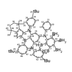 Bc1c(B)c(B)c(N(c2ccccc2)c2cc3c4c(c2)N(c2ccc(C(C)(C)C)cc2)c2c(sc5c2C(C)(C)CCC5(C)C)B4c2cc(C(C)(C)C)ccc2N3c2ccc(C(C)(C)C)cc2)c(B)c1B